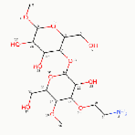 COC1OC(CO)C(OC2OC(CO)C(OC)C(OCCN)C2O)C(O)C1O